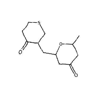 CC1CC(=O)CC(CC2CSCCC2=O)O1